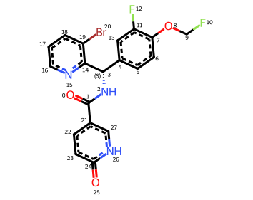 O=C(N[C@@H](c1ccc(OCF)c(F)c1)c1ncccc1Br)c1ccc(=O)[nH]c1